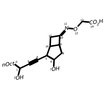 CCCCCCCCC(O)C#CC1C(O)CC2C(=NOCC(=O)O)CC21